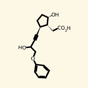 O=C(O)C[C@H]1[C@@H](O)CC[C@@H]1C#CC(O)COc1ccccc1